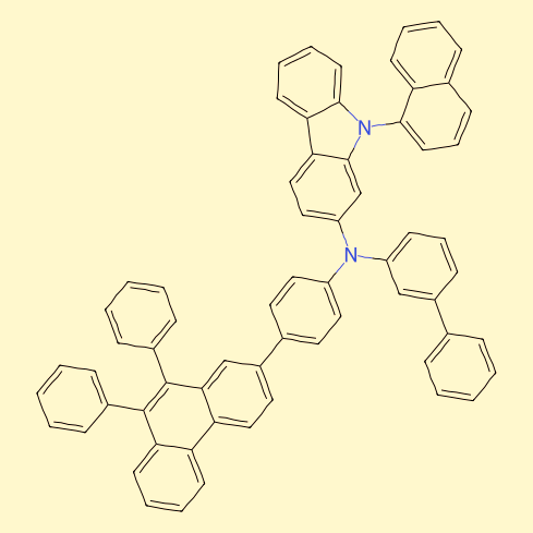 c1ccc(-c2cccc(N(c3ccc(-c4ccc5c(c4)c(-c4ccccc4)c(-c4ccccc4)c4ccccc45)cc3)c3ccc4c5ccccc5n(-c5cccc6ccccc56)c4c3)c2)cc1